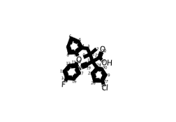 CC(C)(Cc1ccccc1Oc1ccc(F)cc1)C(C#N)(C(=O)O)c1ccc(Cl)cc1